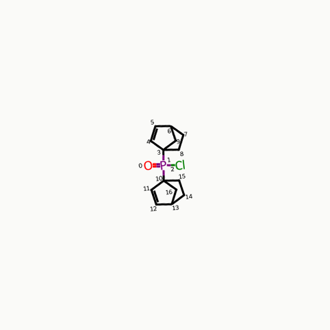 O=P(Cl)(C12C=CC(CC1)C2)C12C=CC(CC1)C2